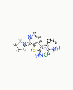 C/C(C(=N)Cl)=C1/C(=N)Sc2c1ccnc2N1CCCC1